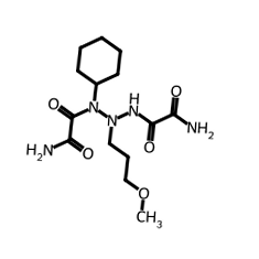 COCCCN(NC(=O)C(N)=O)N(C(=O)C(N)=O)C1CCCCC1